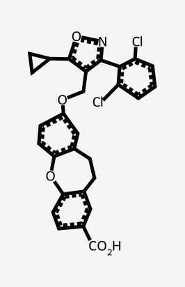 O=C(O)c1ccc2c(c1)CCc1cc(OCc3c(-c4c(Cl)cccc4Cl)noc3C3CC3)ccc1O2